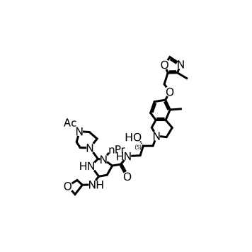 CCCN1C(C(=O)NC[C@H](O)CN2CCc3c(ccc(OCc4ocnc4C)c3C)C2)CC(NC2COC2)NC1N1CCN(C(C)=O)CC1